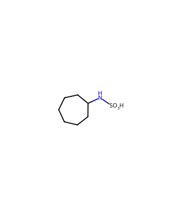 O=S(=O)(O)NC1CCCCCC1